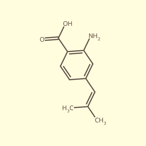 CC(C)=Cc1ccc(C(=O)O)c(N)c1